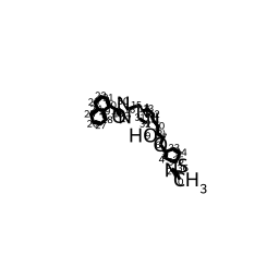 Cc1nc2cc(OC[C@H](O)CN3CCN(Cc4noc(-c5cccc6ccccc56)n4)CC3)ccc2s1